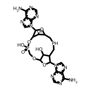 Nc1ncnc2c1ncn2C1OC2OCP(=O)(O)OC3C(O)C(CPCC1C2O)OC3n1cnc2c(N)ncnc21